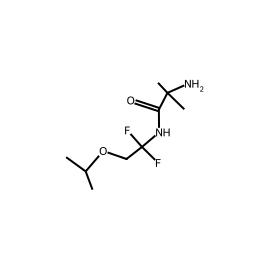 CC(C)OCC(F)(F)NC(=O)C(C)(C)N